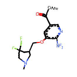 COC(=O)c1cnc(N)c(OCC2CN(C)CC2(F)F)c1